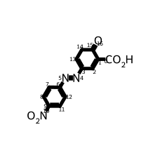 O=C(O)C1=CC(N=Nc2ccc([N+](=O)[O-])cc2)=CCC1=O